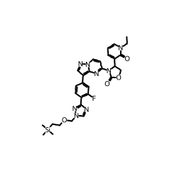 CCn1cccc(C2COC(=O)N2c2ccn3ncc(-c4ccc(-c5ncn(COCC[Si](C)(C)C)n5)c(F)c4)c3n2)c1=O